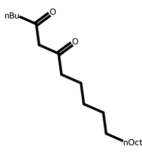 CCCCCCCCCCCCCC(=O)CC(=O)CCCC